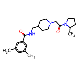 Cc1cc(C)cc(C(=O)NCC2CCN(CC(=O)N3CCCC3C(F)(F)F)CC2)c1